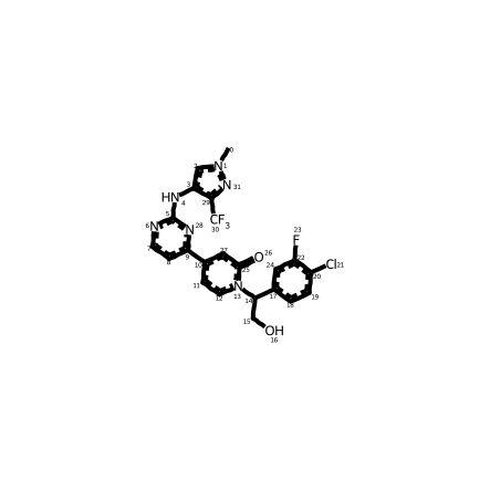 Cn1cc(Nc2nccc(-c3ccn(C(CO)c4ccc(Cl)c(F)c4)c(=O)c3)n2)c(C(F)(F)F)n1